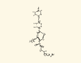 Cc1cc(N2CCN(C3CCNCC3)CC2)ccc1C(=O)NCCC(=O)O